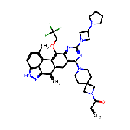 C=CC(=O)N1CC2(CCN(c3nc(N4CC(N5CCCC5)C4)nc4c(OCC(F)(F)F)c5c(cc34)c(=C)c3n[nH]c4ccc(C)c5c43)CC2)C1